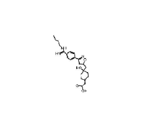 CCCCNC(=N)c1ccc(C2=NOC(CC3(O)CCN(CC(=O)O)CC3)C2)cc1